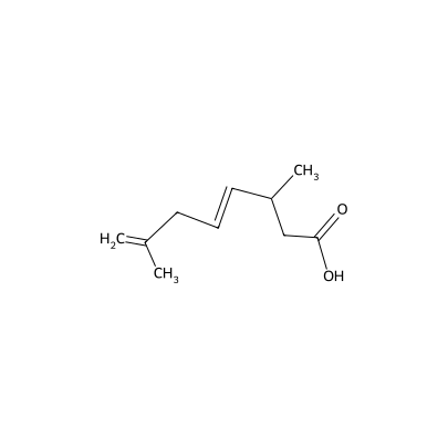 C=C(C)CC=CC(C)CC(=O)O